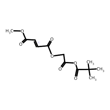 COC(=O)/C=C/C(=O)OCC(=O)OC(=O)C(C)(C)C